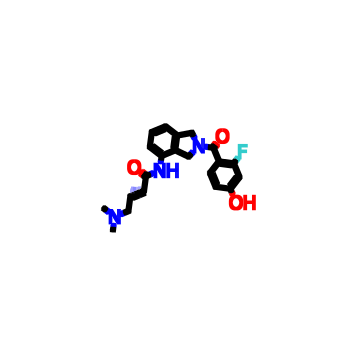 CN(C)C/C=C/C(=O)Nc1cccc2c1CN(C(=O)c1ccc(O)cc1F)C2